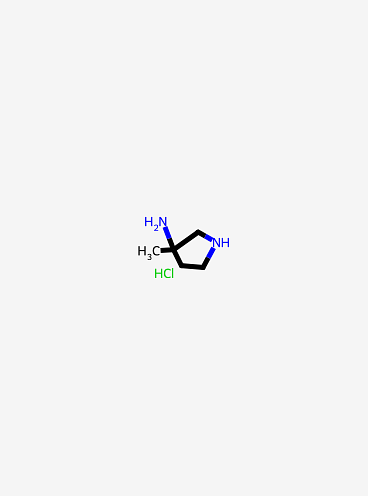 CC1(N)CCNC1.Cl